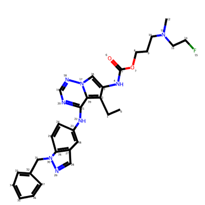 CCc1c(NC(=O)OCCCN(C)CCF)cn2ncnc(Nc3ccc4c(cnn4Cc4ccccc4)c3)c12